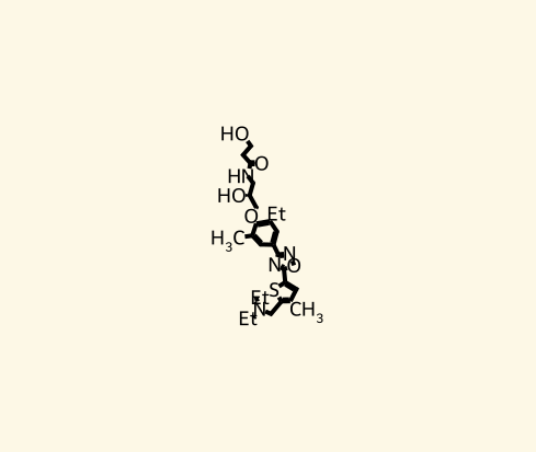 CCc1cc(-c2noc(-c3cc(C)c(CN(CC)CC)s3)n2)cc(C)c1OC[C@@H](O)CNC(=O)CCO